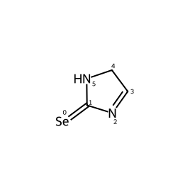 [Se]=C1N=CCN1